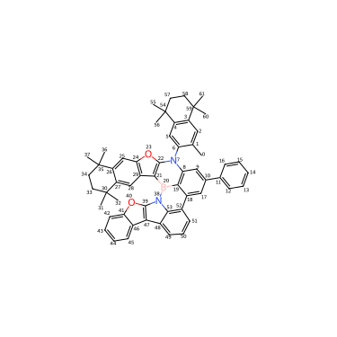 Cc1cc2c(cc1N1c3cc(-c4ccccc4)cc4c3B(c3c1oc1cc5c(cc31)C(C)(C)CCC5(C)C)n1c3oc5ccccc5c3c3cccc-4c31)C(C)(C)CCC2(C)C